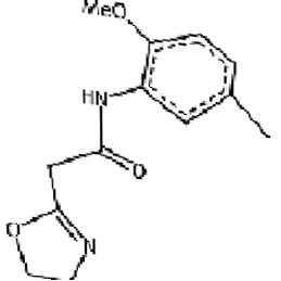 COc1ccc(C)cc1NC(=O)CC1=NCCO1